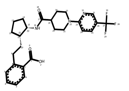 O=C(O)c1ccccc1CC[C@@H]1CCC[C@@H]1NC(=O)C1CCN(c2ccc(C(F)(F)F)cn2)CC1